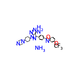 CN1CCN(C2CCC(n3nc(-c4ccc(-c5nc6cc(OC(F)(F)F)ccc6o5)cc4)c4c(N)ncnc43)CC2)CC1.N